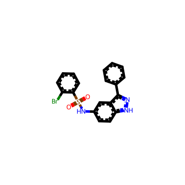 O=S(=O)(Nc1ccc2[nH]nc(-c3ccccc3)c2c1)c1ccccc1Br